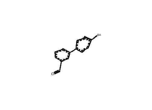 O=Cc1cccc(-c2ccc(S)cc2)c1